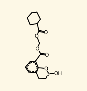 O=C(OCOC(=O)C1CCCCC1)c1cccc2c1OB(O)CC2